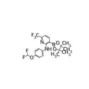 CC1(C)OB(c2ccc(C(F)(F)F)nc2Nc2ccc(OC(F)F)cc2)OC1(C)C